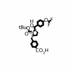 CC(C)(C)OC(=O)N1[C@H](Cc2ccc(C(=O)O)cc2)CC[C@@H]1[C@H](O)c1ccc(OC(F)F)cc1